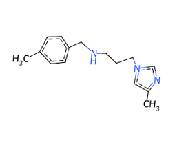 Cc1ccc(CNCCCn2cnc(C)c2)cc1